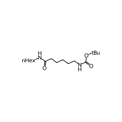 CCCCCCNC(=O)CCCCCNC(=O)OC(C)(C)C